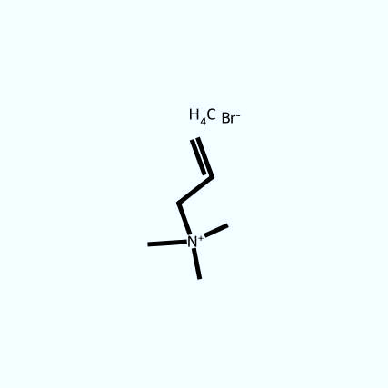 C.C=CC[N+](C)(C)C.[Br-]